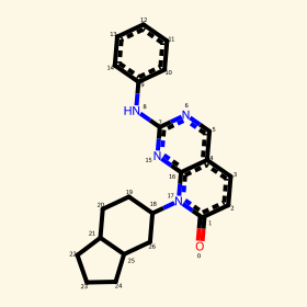 O=c1ccc2cnc(Nc3ccccc3)nc2n1C1CCC2CCCC2C1